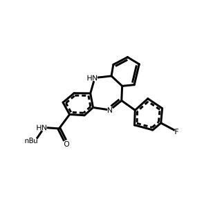 CCCCNC(=O)c1ccc2c(c1)N=C(c1ccc(F)cc1)C1C=CC=CC1N2